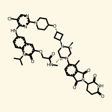 CNC(=O)COc1cc2cc(Nc3nc(N4CCC(O[C@H]5C[C@H](N6C[C@@H](C)N(c7ccc8c(c7C)C(=O)N(C7CCC(=O)NC7=O)C8=O)C[C@@H]6C)C5)CC4)ncc3Cl)ccc2n(C(C)C)c1=O